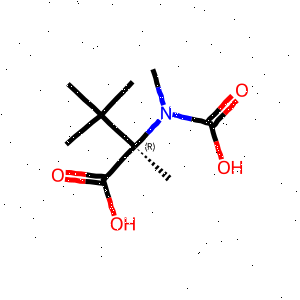 CN(C(=O)O)[C@@](C)(C(=O)O)C(C)(C)C